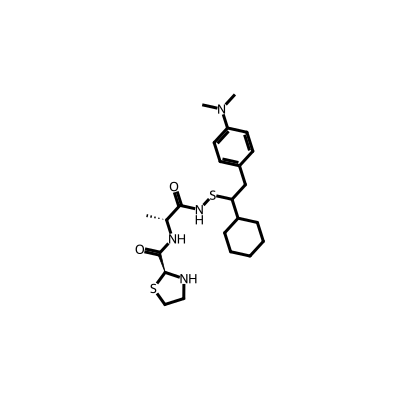 C[C@@H](NC(=O)[C@H]1NCCS1)C(=O)NSC(Cc1ccc(N(C)C)cc1)C1CCCCC1